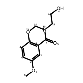 COc1ccc2c(c1)C(=O)N(CCO)CO2